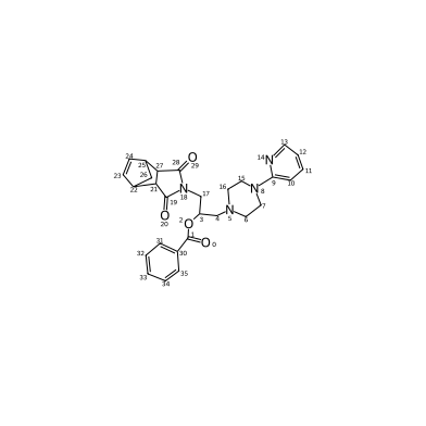 O=C(OC(CN1CCN(c2ccccn2)CC1)CN1C(=O)C2C3C=CC(C3)C2C1=O)c1ccccc1